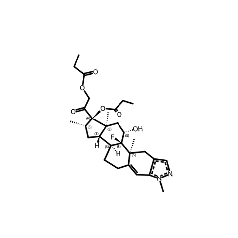 CCC(=O)OCC(=O)[C@@]1(OC(=O)CC)[C@@H](C)C[C@H]2[C@@H]3CCC4=Cc5c(cnn5C)C[C@]4(C)[C@@]3(F)[C@@H](O)C[C@@]21C